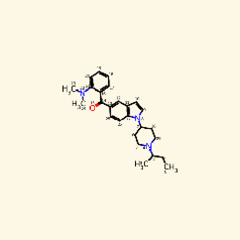 CCC(C)N1CCC(n2ccc3cc(C(=O)c4ccccc4N(C)C)ccc32)CC1